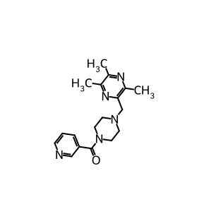 Cc1nc(C)c(CN2CCN(C(=O)c3cccnc3)CC2)nc1C